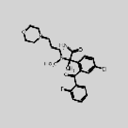 CC(C(N)=O)(c1ccc(Cl)cc1C(=O)c1ccccc1F)N(CCCN1CCOCC1)C(=O)O